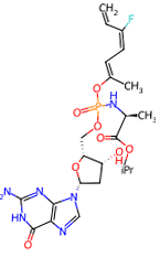 C=C/C(F)=C\C=C(/C)OP(=O)(N[C@@H](C)C(=O)OC(C)C)OC[C@H]1O[C@@H](n2cnc3c(=O)[nH]c(N)nc32)C[C@H]1O